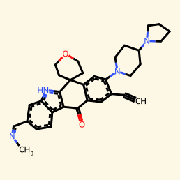 C#Cc1cc2c(cc1N1CCC(N3CCCC3)CC1)C1(CCOCC1)c1[nH]c3cc(/C=N\C)ccc3c1C2=O